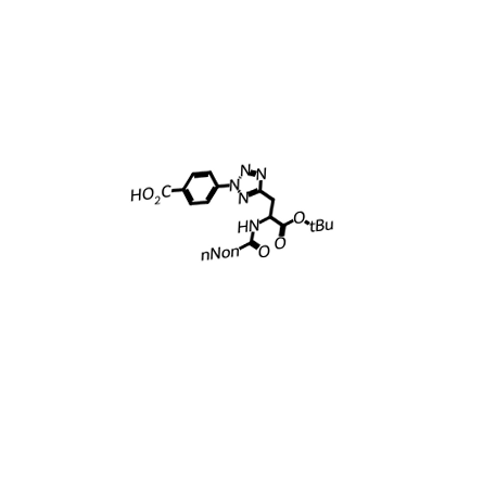 CCCCCCCCCC(=O)NC(Cc1nnn(-c2ccc(C(=O)O)cc2)n1)C(=O)OC(C)(C)C